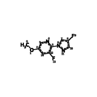 COc1cnc(-n2cc(F)cn2)c(F)c1